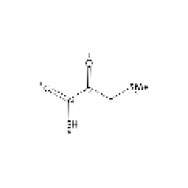 CSCC(=O)C(=O)S